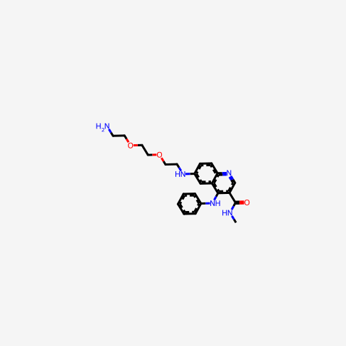 CNC(=O)c1cnc2ccc(NCCOCCOCCN)cc2c1Nc1ccccc1